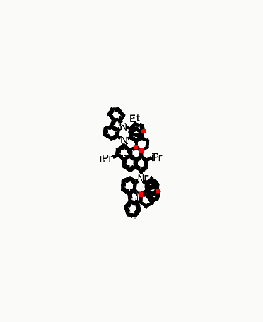 CCc1ccccc1-n1c2ccccc2c2cccc(N(c3cccc4c3CCCC4)c3cc(C(C)C)c4ccc5c(N(c6cccc7c6CCCC7)c6cccc7c8ccccc8n(-c8ccccc8CC)c67)cc(C(C)C)c6ccc3c4c65)c21